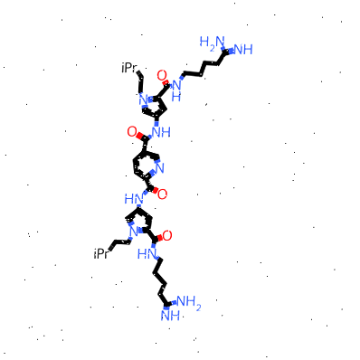 CC(C)CCn1cc(NC(=O)c2ccc(C(=O)Nc3cc(C(=O)NCCCCC(=N)N)n(CCC(C)C)c3)nc2)cc1C(=O)NCCCCC(=N)N